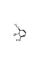 [N-]=[N+]=C1C=CC=C(O)C1Cl